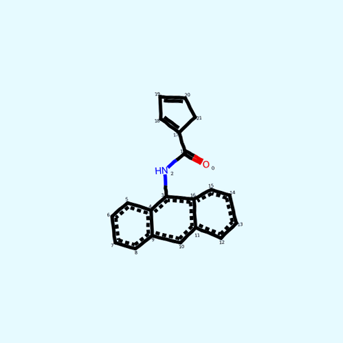 O=C(Nc1c2ccccc2cc2ccccc12)C1=CC=CC1